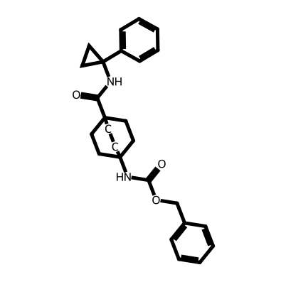 O=C(NC12CCC(C(=O)NC3(c4ccccc4)CC3)(CC1)CC2)OCc1ccccc1